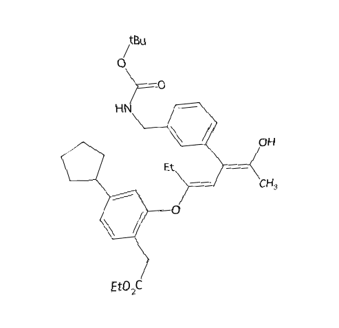 CCOC(=O)Cc1ccc(C2CCCC2)cc1O/C(=C/C(=C(\C)O)c1cccc(CNC(=O)OC(C)(C)C)c1)CC